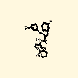 O=C(NC1=CCn2c1nc1c2NCCC1)c1cc2cc(F)ccc2n1Cc1cccc(F)c1